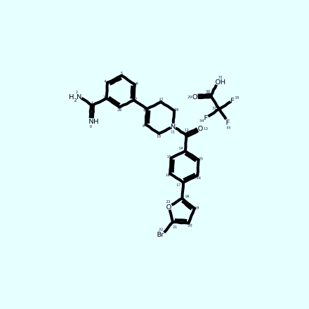 N=C(N)c1cccc(C2=CCN(C(=O)c3ccc(-c4ccc(Br)o4)cc3)CC2)c1.O=C(O)C(F)(F)F